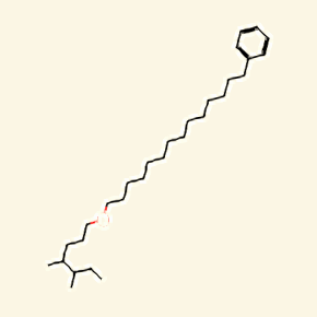 CCC(C)C(C)CCCOCCCCCCCCCCCCCCc1ccccc1